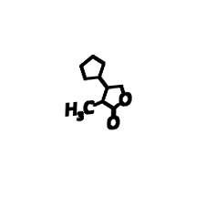 CC1C(=O)OCC1C1CCCC1